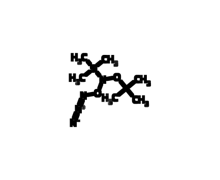 CC(C)(C)ON(ON=[N+]=[N-])[Si](C)(C)C